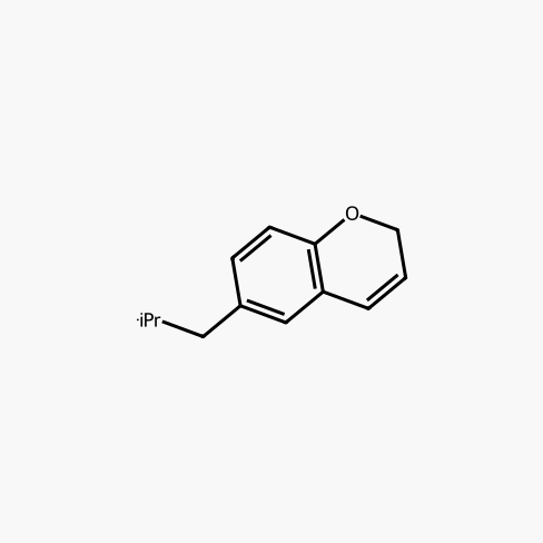 C[C](C)Cc1ccc2c(c1)C=CCO2